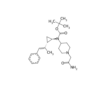 C/C(=C\c1ccccc1)[C@@H]1C[C@H]1N(C(=O)OC(C)(C)C)C1CCN(CC(N)=O)CC1